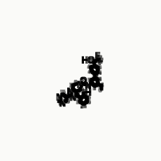 CCc1cc(NC(=O)N2CCc3nc(-c4cncnc4)nc(-c4ccccc4C)c3C2)cc(-c2ccc(C(O)C(F)F)cc2)c1